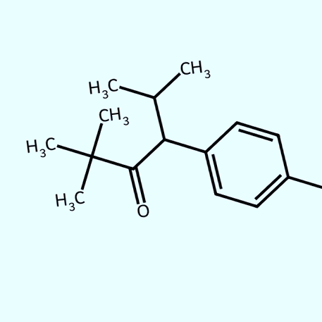 CC(C)C(C(=O)C(C)(C)C)c1ccc(Cl)cc1